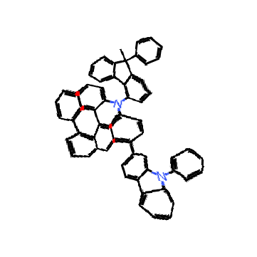 CC1(c2ccccc2)c2ccccc2-c2c(N(c3ccc(-c4ccc5c6ccccc6n(-c6ccccc6)c5c4)cc3)c3ccccc3-c3cccc4cccc(-c5ccccc5)c34)cccc21